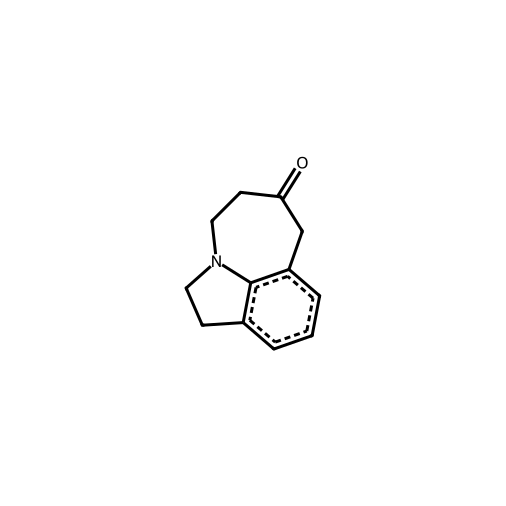 O=C1CCN2CCc3cccc(c32)C1